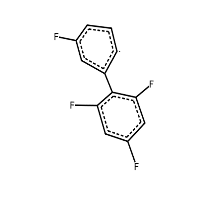 Fc1cc[c]c(-c2c(F)cc(F)cc2F)c1